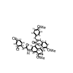 COc1ccc(CN(Cc2ccc(OC)cc2)S(=O)(=O)c2cc(NC(=O)Cc3ccc(Cl)cc3Cl)cc3c(OC)nccc23)cc1